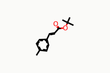 Cc1ccc(C=CC(=O)OC(C)(C)C)cc1